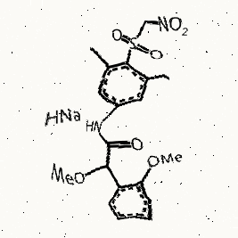 COc1ccccc1C(OC)C(=O)Nc1cc(C)c(S(=O)(=O)C[N+](=O)[O-])c(C)c1.[NaH]